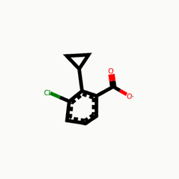 [O]C(=O)c1cccc(Cl)c1C1CC1